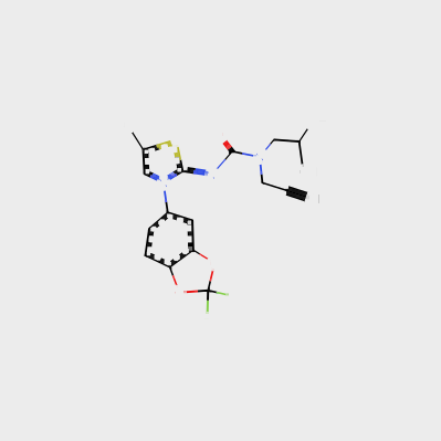 C#CCN(CC(C)C)C(=O)N=c1sc(C)cn1-c1ccc2c(c1)OC(F)(F)O2